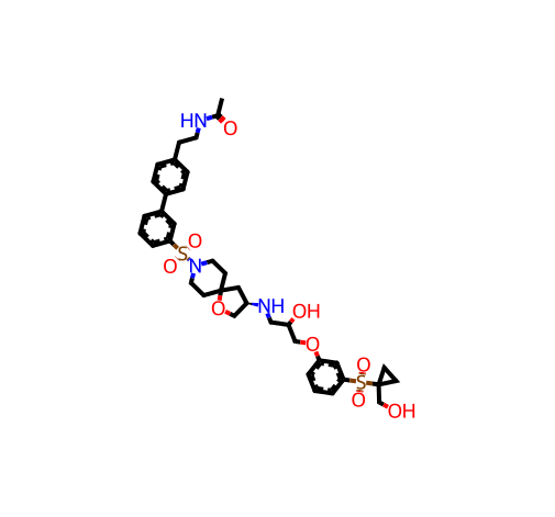 CC(=O)NCCc1ccc(-c2cccc(S(=O)(=O)N3CCC4(CC3)C[C@@H](NCC(O)COc3cccc(S(=O)(=O)C5(CO)CC5)c3)CO4)c2)cc1